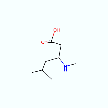 CNC(CC(=O)O)CC(C)C